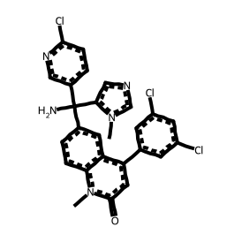 Cn1cncc1C(N)(c1ccc(Cl)nc1)c1ccc2c(c1)c(-c1cc(Cl)cc(Cl)c1)cc(=O)n2C